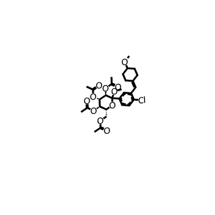 COC1CCC(=Cc2cc(C3(OC)O[C@H](COC(C)=O)[C@@H](OC(C)=O)[C@H](OC(C)=O)[C@H]3OC(C)=O)ccc2Cl)CC1